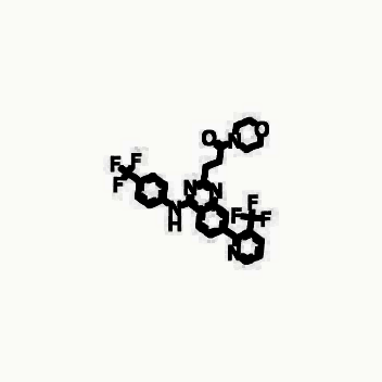 O=C(CCc1nc(Nc2ccc(C(F)(F)F)cc2)c2ccc(-c3ncccc3C(F)(F)F)cc2n1)N1CCOCC1